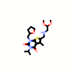 COC(CNCc1sc2c(c1C)c(=O)n(C(C)C)c(=O)n2CC1CCCO1)OC